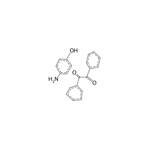 Nc1ccc(O)cc1.O=C(C(=O)c1ccccc1)c1ccccc1